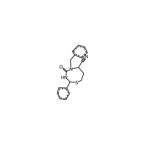 N#CC1CCSC(c2ccccc2)NC(=O)N1Cc1ccccc1